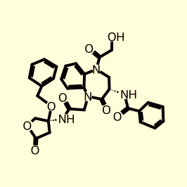 O=C(CN1C(=O)[C@@H](NC(=O)c2ccccc2)CN(C(=O)CO)c2ccccc21)N[C@@]1(OCc2ccccc2)COC(=O)C1